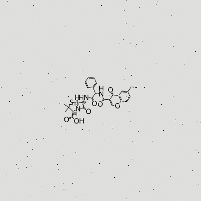 CCc1ccc2occ(C(=O)NC(C(=O)N[C@@H]3C(=O)N4[C@@H]3SC(C)(C)[C@@H]4C(=O)O)c3ccccc3)c(=O)c2c1